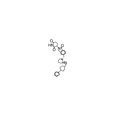 O=C1CCC(N2Cc3cc(C[C@H]4CCCC[C@@H]4/N=C\C4CCC(c5ccccc5)CC4)ccc3C2=O)C(=O)N1